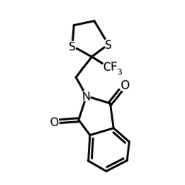 O=C1c2ccccc2C(=O)N1CC1(C(F)(F)F)SCCS1